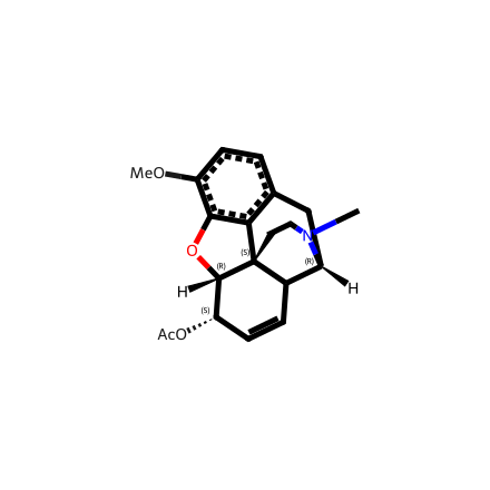 COc1ccc2c3c1O[C@H]1[C@@H](OC(C)=O)C=CC4[C@@H](C2)N(C)CC[C@@]341